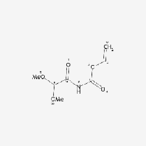 C=COC(=O)NC(=O)C(OC)OC